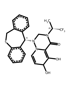 C[C@@H](N1CN([C@H]2c3ccccc3CSc3ccccc32)N2C=CC(O)C(O)=C2C1=O)C(F)(F)F